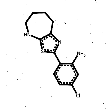 Nc1cc(Cl)ccc1-c1nc2c(s1)NCCCC2